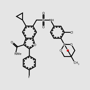 CNC(=O)c1c(-c2ccc(F)cc2)oc2cc(CS(=O)(=O)Nc3ccc([B-]45OCC(C)(CO4)CO5)c(Cl)c3)c(C3CC3)cc12